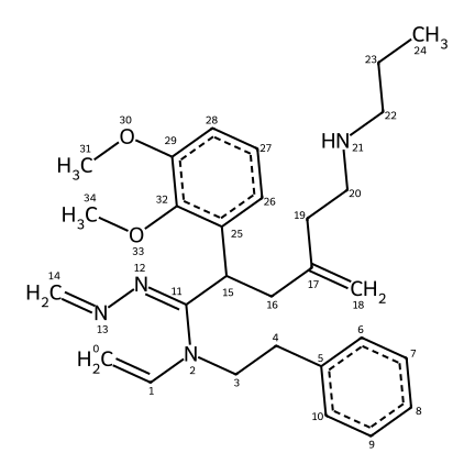 C=CN(CCc1ccccc1)/C(=N\N=C)C(CC(=C)CCNCCC)c1cccc(OC)c1OC